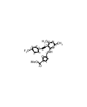 COC(=O)c1ccc(CNc2nc(C)nc(C)c2C#Cc2ccc(C(F)(F)F)cc2)o1